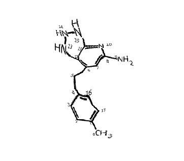 Cc1ccc(Cc2cc(N)nc3c2NNN3)cc1